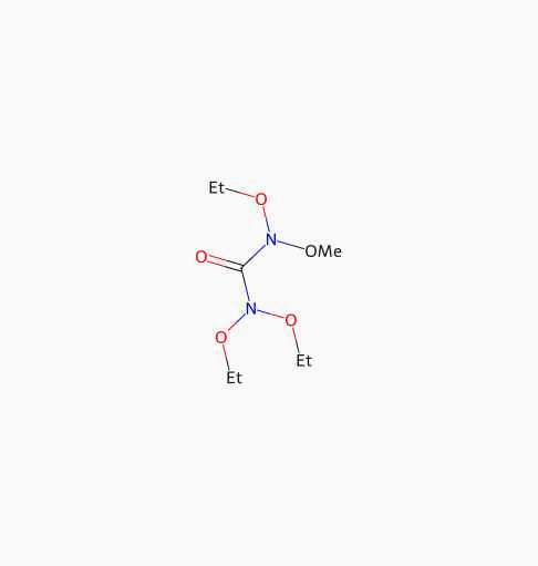 CCON(OC)C(=O)N(OCC)OCC